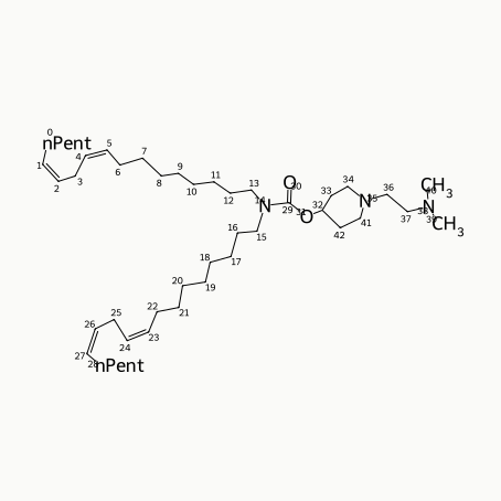 CCCCC/C=C\C/C=C\CCCCCCCCN(CCCCCCCC/C=C\C/C=C\CCCCC)C(=O)OC1CCN(CCN(C)C)CC1